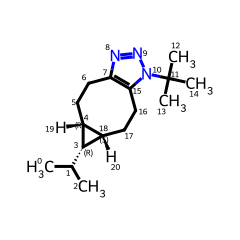 CC(C)[C@@H]1[C@@H]2CCc3nnn(C(C)(C)C)c3CC[C@@H]21